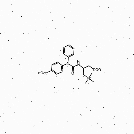 CCCCCCCCc1ccc(N(C(=O)NC(CC(=O)[O-])C[N+](C)(C)C)c2ccccc2)cc1